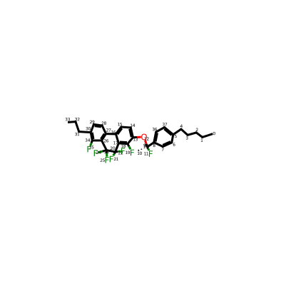 CCCCCc1ccc([C@@](C)(F)Oc2ccc3c(c2F)C(F)(F)C(F)(F)c2c-3ccc(CCC)c2F)cc1